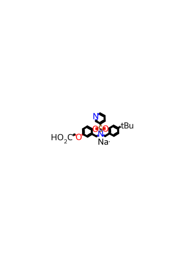 CC(C)(C)c1ccc(CN(Cc2cccc(OCC(=O)O)c2)S(=O)(=O)c2cccnc2)cc1.[Na]